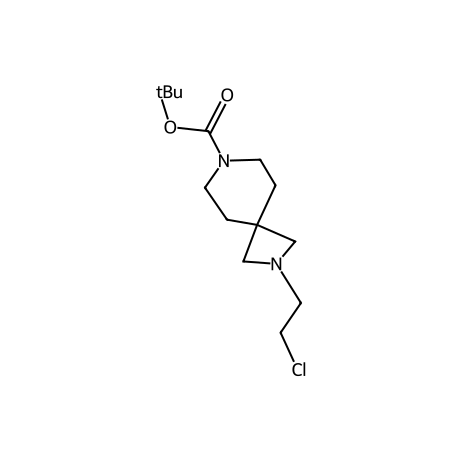 CC(C)(C)OC(=O)N1CCC2(CC1)CN(CCCl)C2